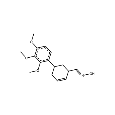 COc1ccc(C2CC=CC(C=NO)C2)c(OC)c1OC